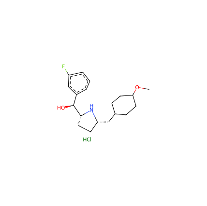 COC1CCC(C[C@@H]2CC[C@H]([C@@H](O)c3cccc(F)c3)N2)CC1.Cl